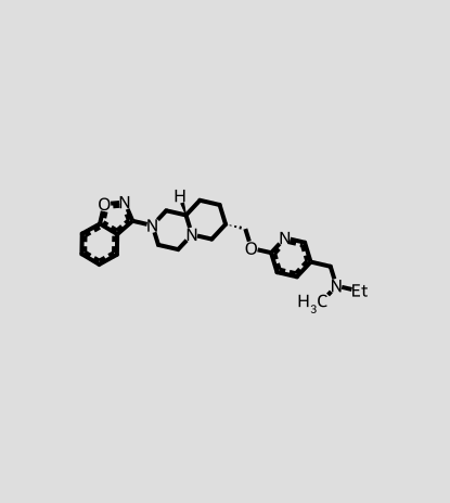 CCN(C)Cc1ccc(OC[C@H]2CC[C@H]3CN(c4noc5ccccc45)CCN3C2)nc1